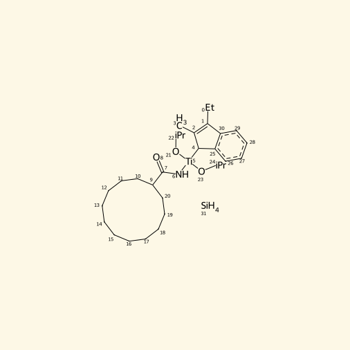 CCC1=C(C)[CH]([Ti]([NH]C(=O)C2CCCCCCCCCCC2)([O]C(C)C)[O]C(C)C)c2ccccc21.[SiH4]